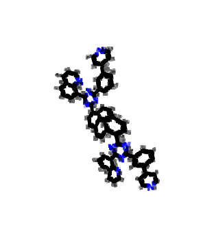 c1cc(-c2ccncc2)cc(-c2nc(-c3ccc4ccc5c(-c6nc(-c7cccc(-c8ccncc8)c7)nc(-c7cccc8cccnc78)n6)ccc6ccc3c4c65)nc(-c3cccc4cccnc34)n2)c1